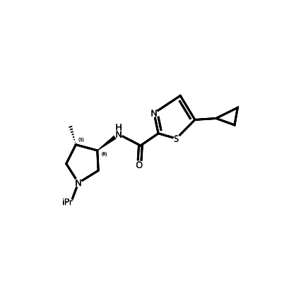 CC(C)N1C[C@H](NC(=O)c2ncc(C3CC3)s2)[C@@H](C)C1